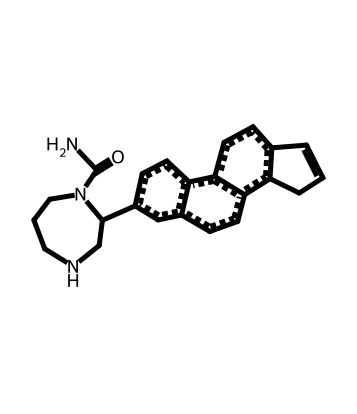 NC(=O)N1CCCNCC1c1ccc2c(ccc3c4c(ccc32)C=CC4)c1